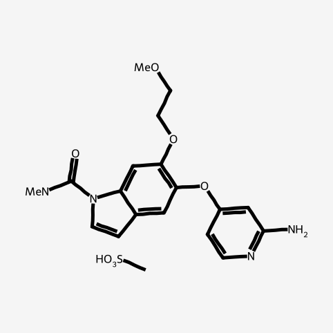 CNC(=O)n1ccc2cc(Oc3ccnc(N)c3)c(OCCOC)cc21.CS(=O)(=O)O